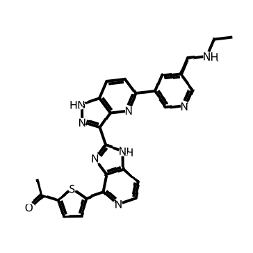 CCNCc1cncc(-c2ccc3[nH]nc(-c4nc5c(-c6ccc(C(C)=O)s6)nccc5[nH]4)c3n2)c1